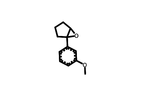 COc1cccc(C23CCCC2O3)c1